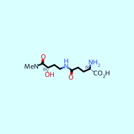 CNC(=O)[C@@H](O)CCNC(=O)CC[C@H](N)C(=O)O